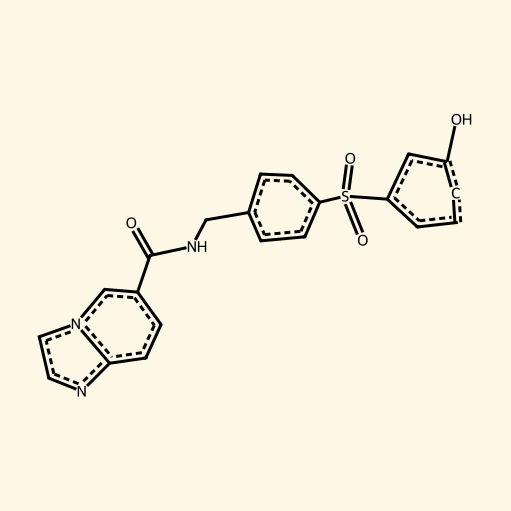 O=C(NCc1ccc(S(=O)(=O)c2cccc(O)c2)cc1)c1ccc2nccn2c1